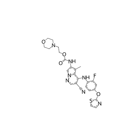 Cc1c(NC(=O)OCCN2CCOCC2)cn2ncc(C#N)c(Nc3ccc(Oc4nccs4)cc3F)c12